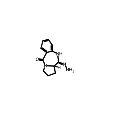 N/N=C1/Nc2ccccc2C(=O)N2CCC[C@@H]12